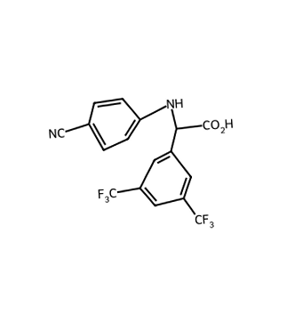 N#Cc1ccc(NC(C(=O)O)c2cc(C(F)(F)F)cc(C(F)(F)F)c2)cc1